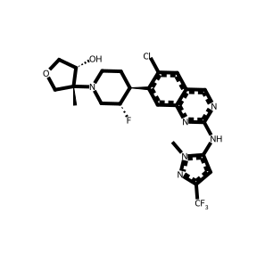 Cn1nc(C(F)(F)F)cc1Nc1ncc2cc(Cl)c([C@@H]3CCN([C@]4(C)COC[C@@H]4O)C[C@H]3F)cc2n1